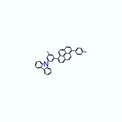 Cc1ccc(-c2ccc3ccc4c(-c5cc(C)cc(-n6c7ccccc7c7ccccc76)c5)ccc5ccc2c3c54)cc1